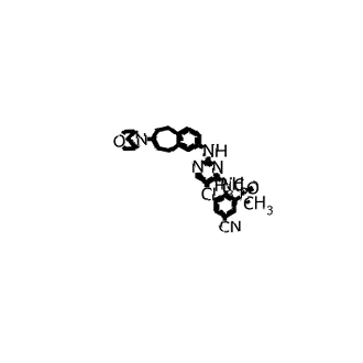 CP(C)(=O)c1cc(C#N)ccc1Nc1nc(Nc2ccc3c(c2)CCC(N2C4COCC2C4)CC3)ncc1Cl